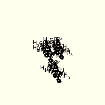 COC(=O)C1=C(C)NC(C)=C(C(=O)OC(C)(C)CN(C)CCC(c2ccccc2)c2ccccc2)C1c1cccc([N+](=O)[O-])c1.COC(=O)C1=C(C)NC(C)=C(C(=O)OC(C)(C)CN(C)CCC(c2ccccc2)c2ccccc2)C1c1cccc([N+](=O)[O-])c1.COC(=O)C1=C(C)NC(C)=C(C(=O)OC(C)(C)CN(C)CCC(c2ccccc2)c2ccccc2)C1c1cccc([N+](=O)[O-])c1